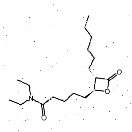 CCCCCC[C@@H]1C(=O)O[C@H]1CCCCC(=O)N(CC)CC